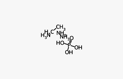 CC.N.N.N.O=P(O)(O)O